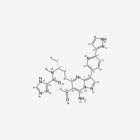 CC[C@H](CCc1nc2c(-c3ccc(-c4cc[nH]n4)nc3)cnn2c(N)c1C(C)=O)N(C)C(=O)c1nnc[nH]1